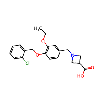 CCOc1cc(CN2CC(C(=O)O)C2)ccc1OCc1ccccc1Cl